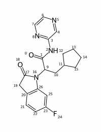 O=C(Nc1cnccn1)C(CC1CCCC1)N1C(=O)Cc2ccc(F)cc21